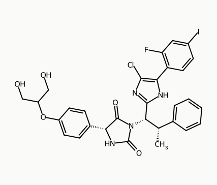 C[C@@H](c1ccccc1)[C@@H](c1nc(Cl)c(-c2ccc(I)cc2F)[nH]1)N1C(=O)N[C@H](c2ccc(OC(CO)CO)cc2)C1=O